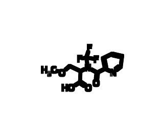 COCC(C(=O)O)N(C(=O)c1ccccn1)C(F)(F)F